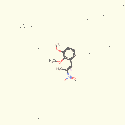 COc1cccc(/C=C(\C)[N+](=O)[O-])c1OC